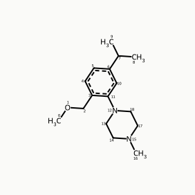 COCc1ccc(C(C)C)cc1N1CCN(C)CC1